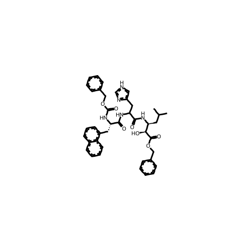 CC(C)C[C@H](NC(=O)C(Cc1c[nH]cn1)NC(=O)[C@H](Cc1cccc2ccccc12)NC(=O)OCc1ccccc1)[C@H](O)C(=O)OCc1ccccc1